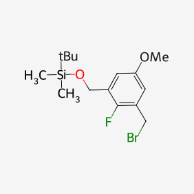 COc1cc(CBr)c(F)c(CO[Si](C)(C)C(C)(C)C)c1